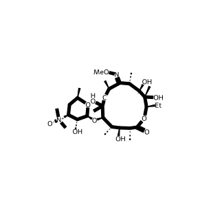 CC[C@H]1OC(=O)[C@H](C)[C@@H](O)[C@H](C)[C@@H](O[C@@H]2O[C@H](C)C[C@H]([N+](C)(C)[O-])[C@H]2O)C(C)(O)C[C@@H](C)/C(=N\OC)[C@H](C)[C@@H](O)[C@]1(C)O